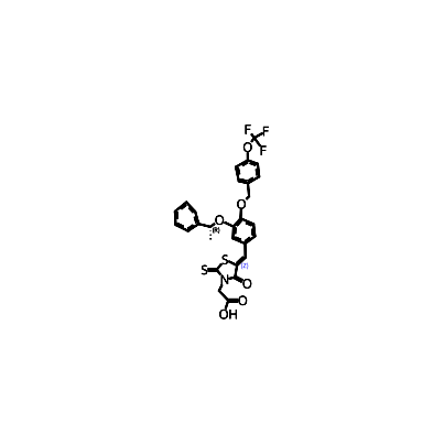 C[C@@H](Oc1cc(/C=C2\SC(=S)N(CC(=O)O)C2=O)ccc1OCc1ccc(OC(F)(F)F)cc1)c1ccccc1